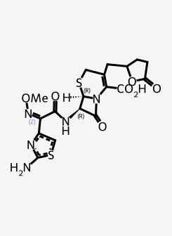 CO/N=C(\C(=O)N[C@@H]1C(=O)N2C(C(=O)O)=C(CC3CCC(=O)O3)CS[C@H]12)c1csc(N)n1